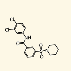 O=C(Nc1ccc(Cl)c(Cl)c1)c1cccc(S(=O)(=O)N2CCCCC2)c1